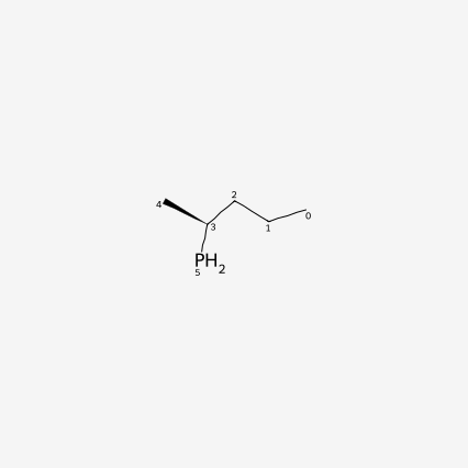 CCC[C@H](C)P